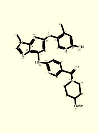 COC1CCN(C(=O)c2ccc(Nc3cc(Oc4cnc(C#N)cc4C)nc4c3ncn4C)nc2)CC1